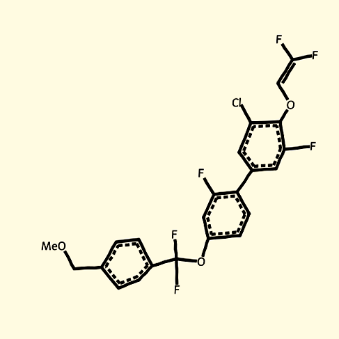 COCc1ccc(C(F)(F)Oc2ccc(-c3cc(F)c(OC=C(F)F)c(Cl)c3)c(F)c2)cc1